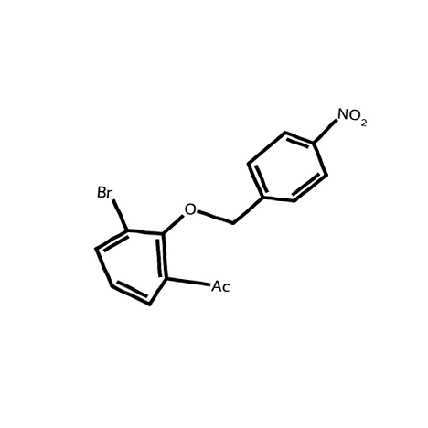 CC(=O)c1cccc(Br)c1OCc1ccc([N+](=O)[O-])cc1